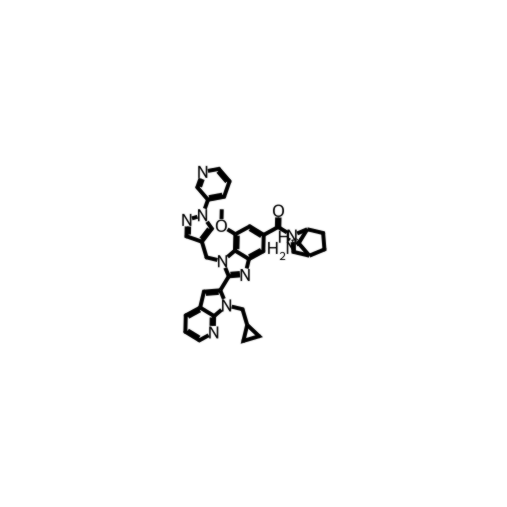 COc1cc(C(=O)N2CC3CCC2[C@@H]3N)cc2nc(-c3cc4cccnc4n3CC3CC3)n(Cc3cnn(-c4cccnc4)c3)c12